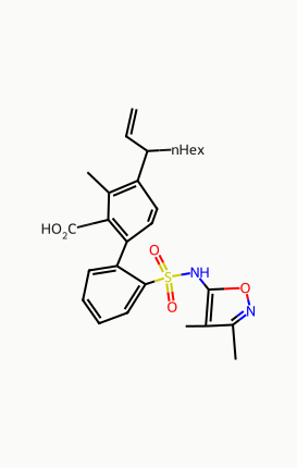 C=CC(CCCCCC)c1ccc(-c2ccccc2S(=O)(=O)Nc2onc(C)c2C)c(C(=O)O)c1C